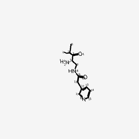 CC(C)C(=O)[C@@H](N)CNC(=O)Cc1cccnc1